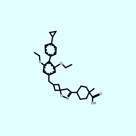 CCOc1cc(CC2CC3(CC(C4CCC(C)(C(=O)O)CC4)=NO3)C2)cc(OCC)c1-c1ccc(C2CC2)cc1